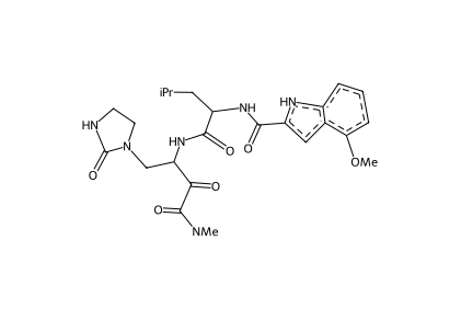 CNC(=O)C(=O)C(CN1CCNC1=O)NC(=O)C(CC(C)C)NC(=O)c1cc2c(OC)cccc2[nH]1